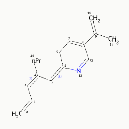 C=C/C=C(\C=C1/CC=C(C(=C)C)C=N1)CCC